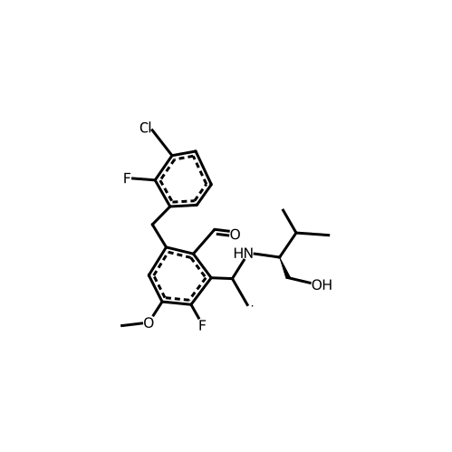 [CH2]C(N[C@H](CO)C(C)C)c1c(F)c(OC)cc(Cc2cccc(Cl)c2F)c1C=O